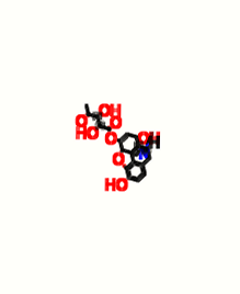 CC(=O)[C@H](O)[C@@H](O)C(=O)OC1=CC[C@@]2(O)[C@H]3Cc4ccc(O)c5c4C2(CCN3C)C1O5